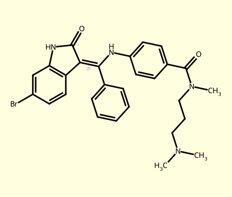 CN(C)CCCN(C)C(=O)c1ccc(N/C(=C2\C(=O)Nc3cc(Br)ccc32)c2ccccc2)cc1